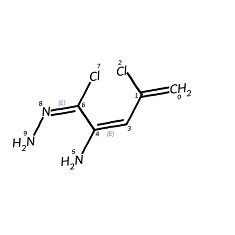 C=C(Cl)/C=C(N)\C(Cl)=N/N